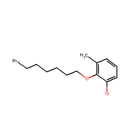 Cc1cccc([O])c1OCCCCCCC(C)C